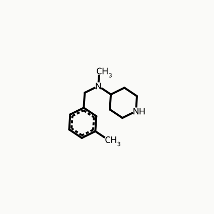 Cc1cccc(CN(C)C2CCNCC2)c1